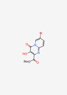 COC(=O)c1nc2ccc(Br)cn2c(=O)c1O